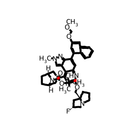 COCOc1cc(-c2cc3nc(OC[C@@]45CCCN4C[C@H](F)C5)nc(N4C[C@H]5CC[C@@H](C4)N5C(=O)OC(C)(C)C)c3c3cn(C)nc23)c2ccccc2c1